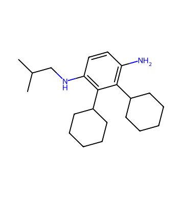 CC(C)CNc1ccc(N)c(C2CCCCC2)c1C1CCCCC1